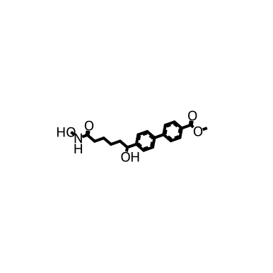 COC(=O)c1ccc(-c2ccc(C(O)CCCCC(=O)NO)cc2)cc1